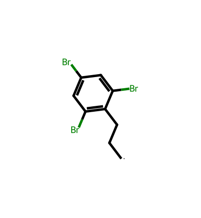 [CH2]CCc1c(Br)cc(Br)cc1Br